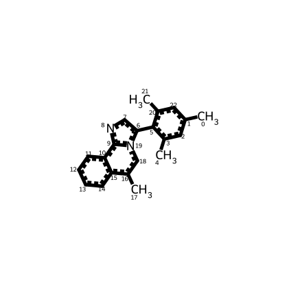 Cc1cc(C)c(-c2cnc3c4ccccc4c(C)cn23)c(C)c1